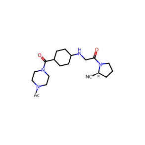 CC(=O)N1CCN(C(=O)C2CCC(NCC(=O)N3CCC[C@H]3C#N)CC2)CC1